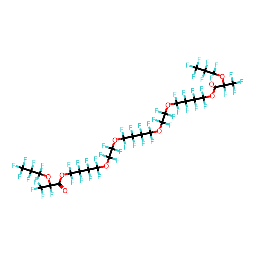 O=C(OC(F)(F)C(F)(F)C(F)(F)C(F)(F)OC(F)(F)C(F)(F)OC(F)(F)C(F)(F)C(F)(F)C(F)(F)OC(F)(F)C(F)(F)OC(F)(F)C(F)(F)C(F)(F)C(F)(F)OC(=O)C(F)(OC(F)(F)C(F)(F)C(F)(F)F)C(F)(F)F)C(F)(OC(F)(F)C(F)(F)C(F)(F)F)C(F)(F)F